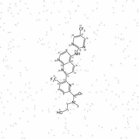 CN(CCO)C(=O)c1ccc(C(F)(F)F)c(-c2ccc3c(Nc4ncc(C(F)(F)F)cn4)ccnc3n2)n1